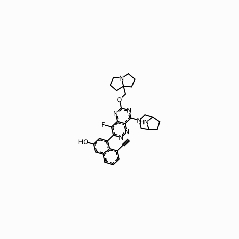 C#Cc1cccc2cc(O)cc(-c3nnc4c(N5CC6CCC(C5)N6)nc(OCC56CCCN5CCC6)nc4c3F)c12